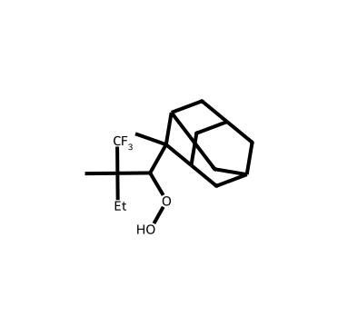 CCC(C)(C(OO)C1(C)C2CC3CC(C2)CC1C3)C(F)(F)F